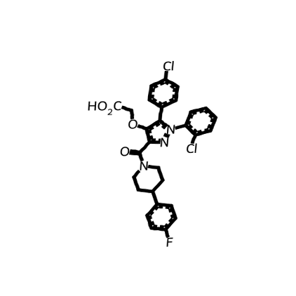 O=C(O)COc1c(C(=O)N2CCC(c3ccc(F)cc3)CC2)nn(-c2ccccc2Cl)c1-c1ccc(Cl)cc1